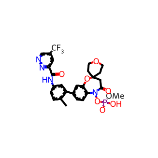 COP(=O)(O)ON1C(=O)CC2(CCOCC2)Oc2cc(-c3cc(NC(=O)c4cc(C(F)(F)F)cnn4)ccc3C)ccc21